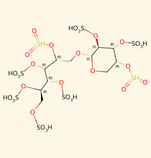 O=[SH](=O)O[C@@H]1CO[C@H](OC[C@@H](O[SH](=O)=O)[C@@H](OS(=O)(=O)O)[C@H](OS(=O)(=O)O)[C@@H](COS(=O)(=O)O)OS(=O)(=O)O)[C@@H](OS(=O)(=O)O)[C@@H]1OS(=O)(=O)O